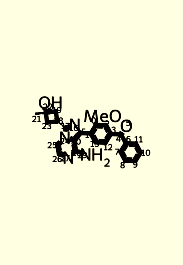 COc1cc(C(=O)c2ccccc2)ccc1-c1nc([C@H]2C[C@@](C)(O)C2)n2ccnc(N)c12